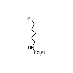 CCOC(=O)NCCCCCC(C)C